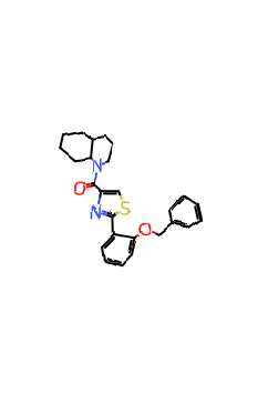 O=C(c1csc(-c2ccccc2OCc2ccccc2)n1)N1CCCC2CCCCC21